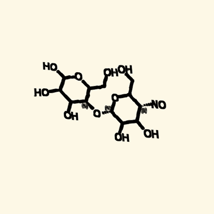 O=N[C@H]1C(CO)O[C@@H](O[C@@H]2C(CO)OC(O)C(O)C2O)C(O)C1O